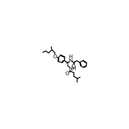 CCCC(C)COc1ccc([C@H](CNC(=O)CCC(C)C)NC(=O)Cc2ccccc2)cc1